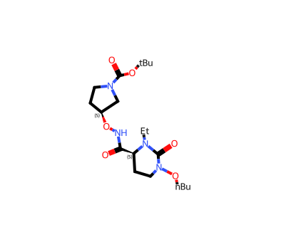 CCCCON1CC[C@@H](C(=O)NO[C@H]2CCN(C(=O)OC(C)(C)C)C2)N(CC)C1=O